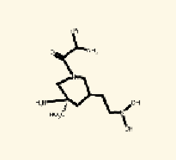 CCCC(N)C(=O)N1C[C@@H](CCB(O)O)C[C@](N)(C(=O)O)C1